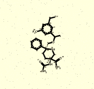 CC(OC[C@@]1(c2ccccc2)CC[C@@](NC(N)=O)(C(N)=O)CN1)c1cc(CF)cc(C(F)(F)F)c1